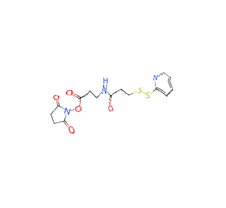 O=C(CCSSc1ccccn1)NCCC(=O)ON1C(=O)CCC1=O